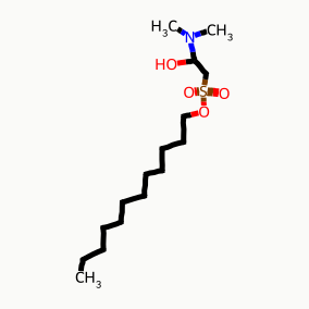 CCCCCCCCCCCCOS(=O)(=O)CC(O)N(C)C